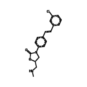 CNCC1CN(c2ccc(C=Cc3cccc(Cl)c3)cc2)C(=O)O1